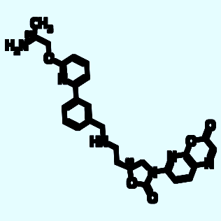 C[C@@H](N)COc1cccc(-c2cccc(CNCC[C@H]3CN(c4ccc5ncc(=O)oc5n4)C(=O)O3)c2)n1